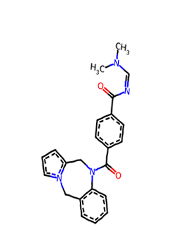 CN(C)/C=N\C(=O)c1ccc(C(=O)N2Cc3cccn3Cc3ccccc32)cc1